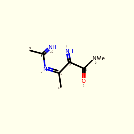 CNC(=O)C(=N)/C(C)=N\C(C)=N